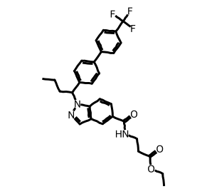 CCCC(c1ccc(-c2ccc(C(F)(F)F)cc2)cc1)n1ncc2cc(C(=O)NCCC(=O)OCC)ccc21